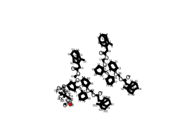 CC1C2CC3CC(C2)CC1(CC(=O)OCOc1ccccc1[S+](c1ccccc1)c1ccccc1OCOC(=O)CC12CC4CC(CC(C4)C1C)C2)C3.CC1C2CC3CC(C2)CC1(CC(=O)OCOc1ccccc1[S+](c1ccccc1)c1ccccc1OCOC(=O)CC12CC4CC(CC(C4)C1C)C2)C3.O=S(=O)([O-])C(F)(F)C(F)(F)C(F)(F)S(=O)(=O)[O-]